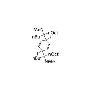 CCCCCCCCC(CCCC)(NC)C1(I)C=CC(I)(C(CCCC)(CCCCCCCC)NC)C=C1